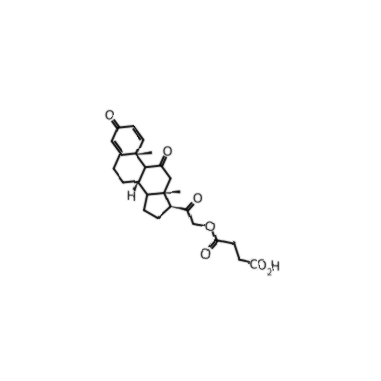 C[C@]12C=CC(=O)C=C1CC[C@@H]1C2C(=O)C[C@@]2(C)C1CC[C@@H]2C(=O)COC(=O)CCC(=O)O